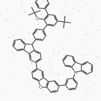 CC(C)(C)Oc1c(-c2ccccc2)cc(C(C)(C)C)cc1-c1ccc(C2c3ccccc3-c3cc(-c4ccc5oc6ccc(-c7cccc(-n8c9ccccc9c9ccccc98)c7)cc6c5c4)ccc32)cc1